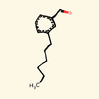 CCCCCCc1cccc(C=O)c1